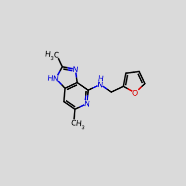 Cc1cc2[nH]c(C)nc2c(NCc2ccco2)n1